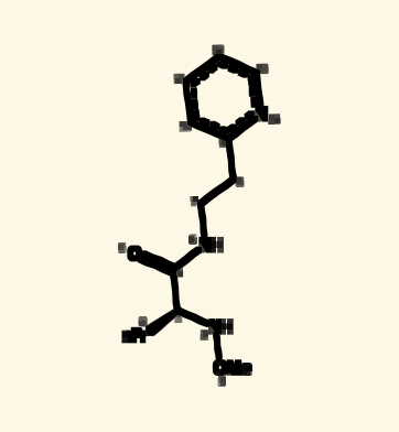 CCC[C@H](NOC)C(=O)NCCc1ccccn1